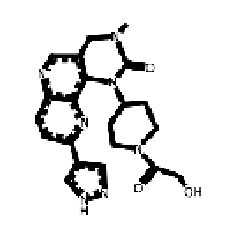 CN1Cc2cnc3ccc(-c4cn[nH]c4)nc3c2N(C2CCN(C(=O)CO)CC2)C1=O